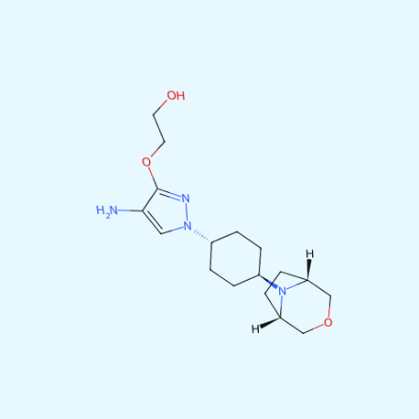 Nc1cn([C@H]2CC[C@H](N3[C@@H]4CC[C@H]3COC4)CC2)nc1OCCO